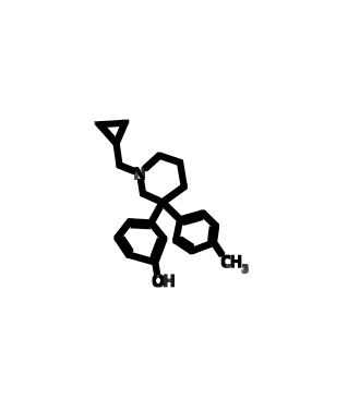 Cc1ccc(C2(c3cccc(O)c3)CCCN(CC3CC3)C2)cc1